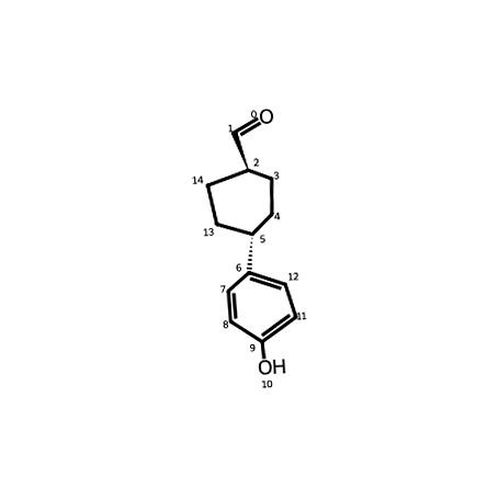 O=C[C@H]1CC[C@H](c2ccc(O)cc2)CC1